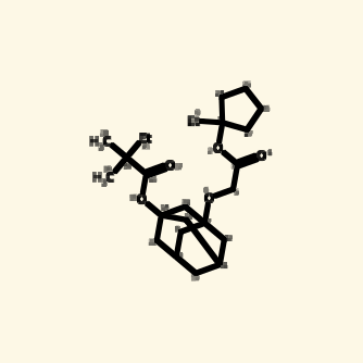 CCC1(OC(=O)COC23CC4CC(C2)CC(OC(=O)C(C)(C)CC)(C4)C3)CCCC1